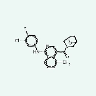 Cc1cccc2c(Nc3ccc(F)c(Cl)c3)ncc(C(=O)N3CC4CC(C3)O4)c12